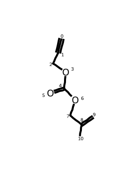 C#CCOC(=O)OCC(=C)C